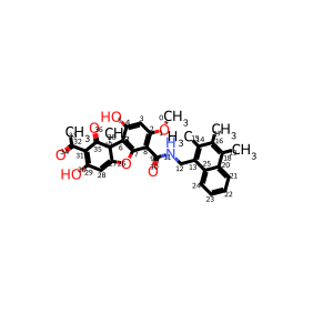 COc1cc(O)c2c(c1C(=O)NCc1c(C)c(C)c(C)c3ccccc13)OC1=CC(O)=C(C(C)=O)C(=O)[C@]12C